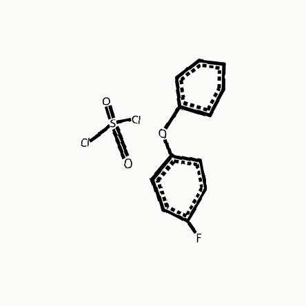 Fc1ccc(Oc2ccccc2)cc1.O=S(=O)(Cl)Cl